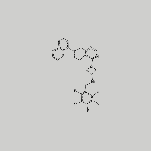 Fc1c(F)c(F)c(SNC2CN(c3ncnc4c3CCN(c3cccc5ccccc35)C4)C2)c(F)c1F